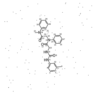 Cc1cccc(NC(=O)NCC(=O)N(c2ccccc2)[C@@H](C)C(=O)N(C)c2ccccc2)c1